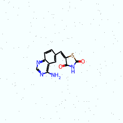 Nc1ncnc2ccc(C=C3SC(=O)NC3=O)cc12